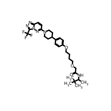 CC(NC(=O)COCCCCOc1ccc(C2CCN(c3ccc4nnc(C(F)(F)F)n4n3)CC2)cc1)C(C)(C)C